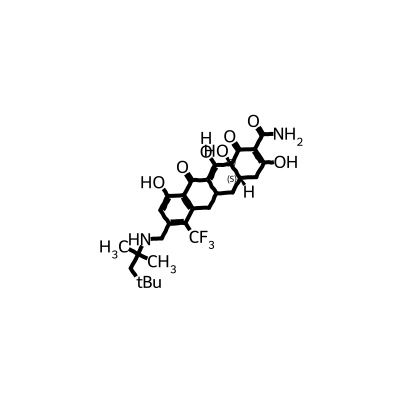 CC(C)(C)CC(C)(C)NCc1cc(O)c2c(c1C(F)(F)F)CC1C[C@H]3CC(O)=C(C(N)=O)C(=O)[C@@]3(O)C(O)=C1C2=O